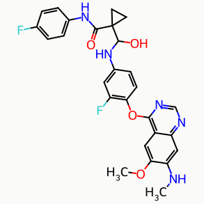 CNc1cc2ncnc(Oc3ccc(NC(O)C4(C(=O)Nc5ccc(F)cc5)CC4)cc3F)c2cc1OC